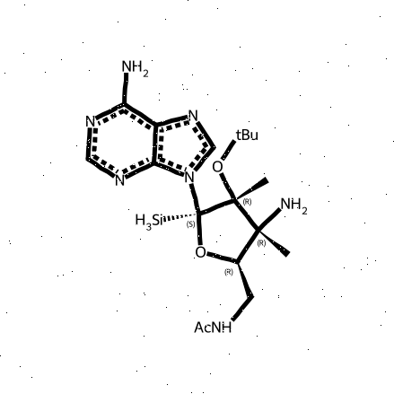 CC(=O)NC[C@H]1O[C@@]([SiH3])(n2cnc3c(N)ncnc32)[C@](C)(OC(C)(C)C)[C@]1(C)N